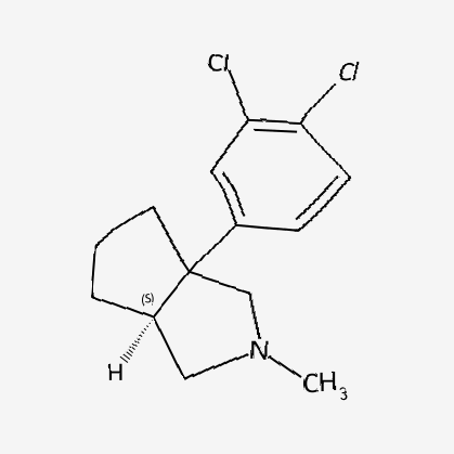 CN1C[C@H]2CCCC2(c2ccc(Cl)c(Cl)c2)C1